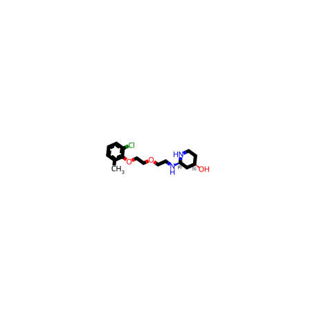 Cc1cccc(Cl)c1OCCOCCN[C@@H]1C[C@@H](O)CCN1